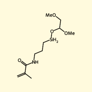 C=C(C)C(=O)NCCC[SiH2]OC(COC)OC